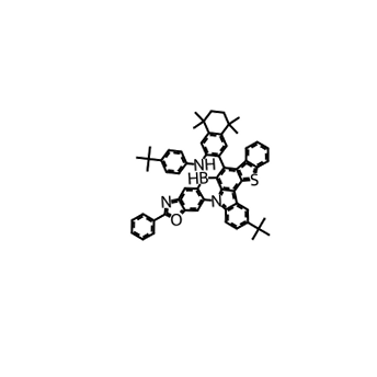 CC(C)(C)c1ccc(Nc2cc3c(cc2-c2c4c5c(c6cc(C(C)(C)C)ccc6n5-c5cc6oc(-c7ccccc7)nc6cc5B4)c4sc5ccccc5c24)C(C)(C)CCC3(C)C)cc1